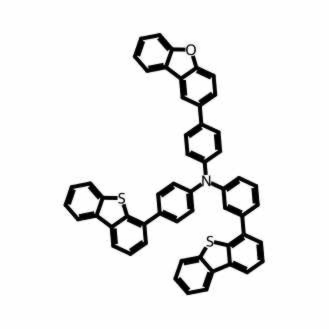 c1cc(-c2cccc3c2sc2ccccc23)cc(N(c2ccc(-c3ccc4oc5ccccc5c4c3)cc2)c2ccc(-c3cccc4c3sc3ccccc34)cc2)c1